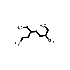 [CH2]C(CC)CCC(CC)CCC